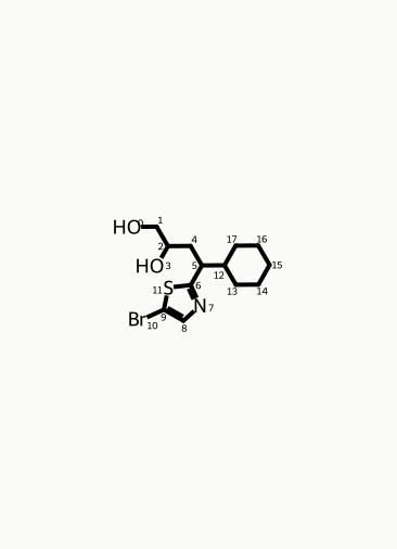 OCC(O)CC(c1ncc(Br)s1)C1CCCCC1